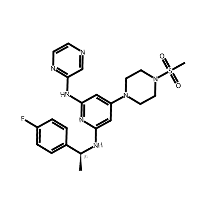 C[C@H](Nc1cc(N2CCN(S(C)(=O)=O)CC2)cc(Nc2cnccn2)n1)c1ccc(F)cc1